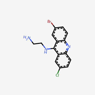 NCCNc1c2cc(Cl)ccc2nc2ccc(Br)cc12